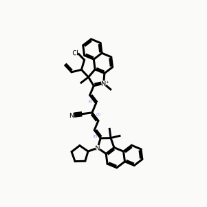 C=CC(CCl)C1(C)C(/C=C/C(C#N)=C/C=C2/N(C3CCCC3)c3ccc4ccccc4c3C2(C)C)=[N+](C)c2ccc3ccccc3c21